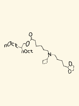 CCCCCCCCC(CCCCCCCC)COC(=O)CCCCCN(CCCCC1OCCO1)C1CCC1